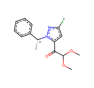 COC(OC)C(=O)c1cc(F)nn1[C@H](C)c1ccccc1